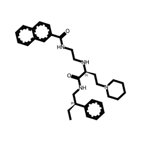 CC[C@@H](CNC(=O)[C@H](CCN1CCCCC1)NCCNC(=O)c1ccc2ccccc2c1)c1ccccc1